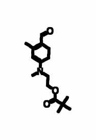 CC1=C(C=O)CCC(N(C)CCOC(=O)C(C)(C)C)=C1